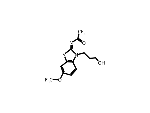 O=C(N=c1sc2cc(OC(F)(F)F)ccc2n1CCCO)C(F)(F)F